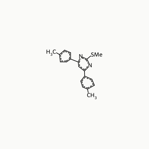 CSc1nc(-c2ccc(C)cc2)cc(-c2ccc(C)cc2)n1